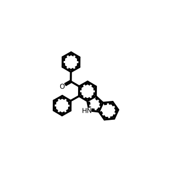 O=C(c1ccccc1)c1ccc2c([nH]c3ccccc32)c1-c1ccccc1